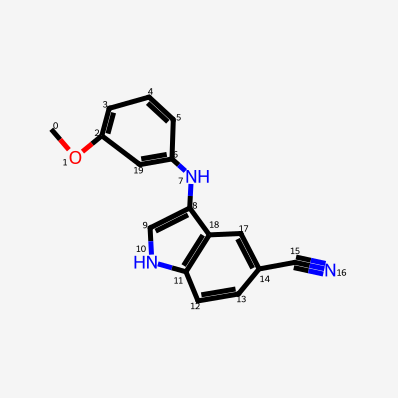 COc1cccc(Nc2c[nH]c3ccc(C#N)cc23)c1